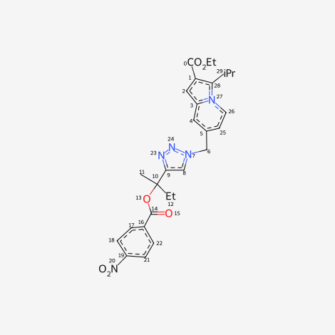 CCOC(=O)c1cc2cc(Cn3cc(C(C)(CC)OC(=O)c4ccc([N+](=O)[O-])cc4)nn3)ccn2c1C(C)C